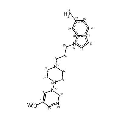 COC1=CN(N2CCN(CCCn3ccc4ccc(N)cc43)CC2)CN=C1